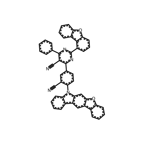 N#Cc1cc(-c2nc(-c3cccc4oc5ccccc5c34)nc(-c3ccccc3)c2C#N)ccc1-n1c2ccccc2c2cc3c(cc21)oc1ccccc13